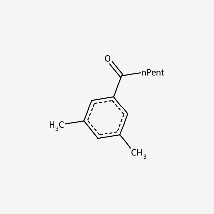 CCCCCC(=O)c1cc(C)cc(C)c1